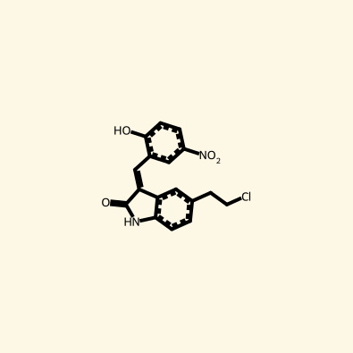 O=C1Nc2ccc(CCCl)cc2C1=Cc1cc([N+](=O)[O-])ccc1O